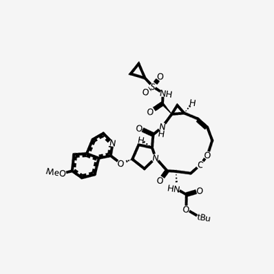 COc1ccc2c(O[C@@H]3C[C@H]4C(=O)N[C@]5(C(=O)NS(=O)(=O)C6CC6)C[C@H]5/C=C\COCC[C@H](NC(=O)OC(C)(C)C)C(=O)N4C3)nccc2c1